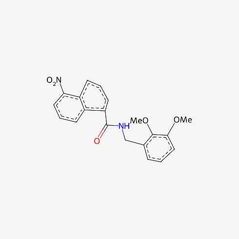 COc1cccc(CNC(=O)c2cccc3c([N+](=O)[O-])cccc23)c1OC